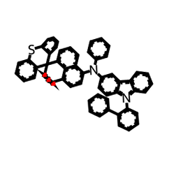 c1ccc(-c2ccccc2-n2c3ccccc3c3cc(N(c4ccccc4)c4ccc5c6c(cccc46)C4(c6ccccc6Sc6ccccc64)c4ccccc4-5)ccc32)cc1